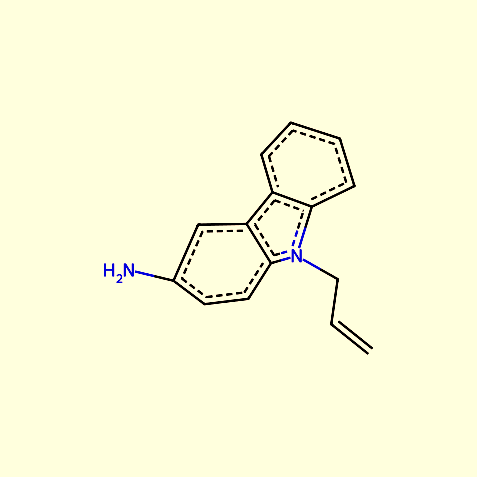 C=CCn1c2ccccc2c2cc(N)ccc21